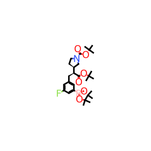 CC(C)(C)OC(=O)[C@@H](Cc1cc(F)cc(B2OC(C)(C)C(C)(C)O2)c1)[C@H]1CCN(C(=O)OC(C)(C)C)C1